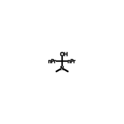 CCCC(O)(CCC)N(C)C